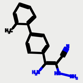 Cc1ccccc1-c1ccc(/C(N)=C(\C#N)NN)cc1